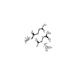 CC(=O)CCC(=O)O.CC(=O)CCC(=O)O.[O-2].[O-2].[Zn+2].[Zn+2].[Zn+2]